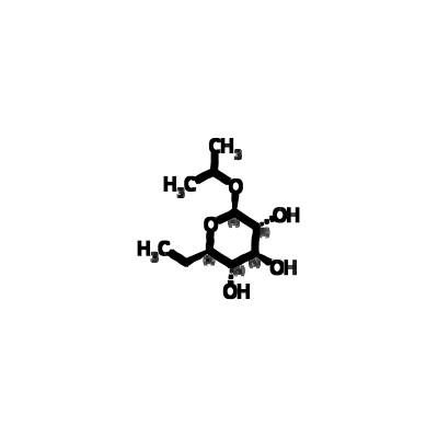 CC[C@H]1O[C@@H](OC(C)C)[C@H](O)[C@@H](O)[C@@H]1O